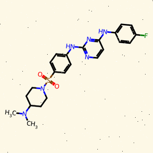 CN(C)C1CCN(S(=O)(=O)c2ccc(Nc3nccc(Nc4ccc(F)cc4)n3)cc2)CC1